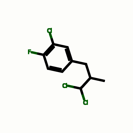 CC(Cc1ccc(F)c(Cl)c1)[C](Cl)Cl